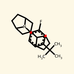 CC(C)(C)c1ccc(N2C3CCC2CC(C2CCCC2)C3)c(F)c1